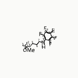 CO[Si](C)(C)CCCCNc1c(F)c(F)c(F)c(F)c1F